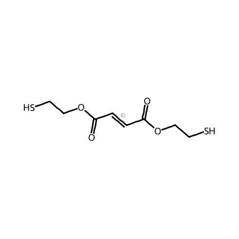 O=C(/C=C/C(=O)OCCS)OCCS